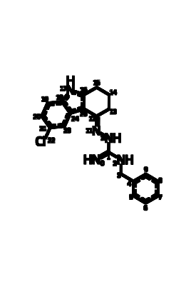 N=C(NCc1ccccc1)NN=C1CCCc2[nH]c3ccc(Cl)cc3c21